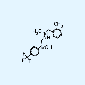 Cc1ccccc1C[C@@H](C)NC[C@H](O)c1ccc(C(F)(F)F)cc1